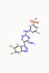 Cc1cc(Nc2ncc(-c3n[nH]c4cc(F)c(F)cc34)c(N)n2)cc(S(C)(=O)=O)c1